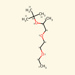 CCOCCOCC(C)OC(C)(C)C